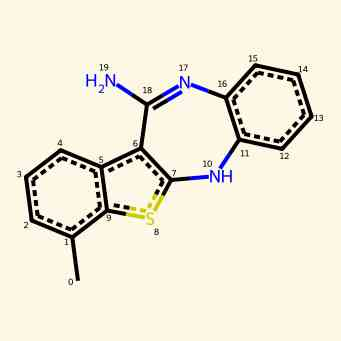 Cc1cccc2c3c(sc12)Nc1ccccc1N=C3N